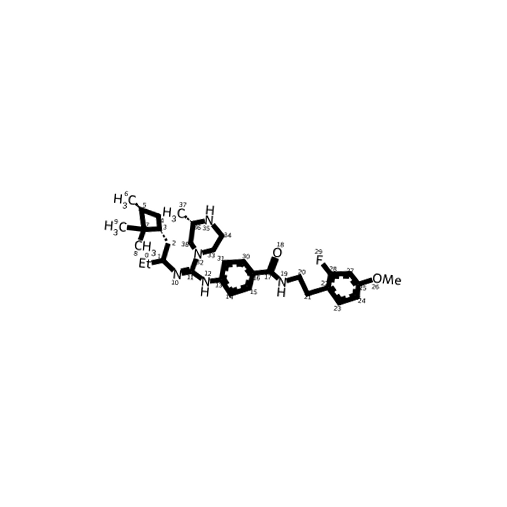 CCC(C[C@H]1C[C@@H](C)C1(C)C)/N=C(/Nc1ccc(C(=O)NCCc2ccc(OC)cc2F)cc1)N1CCN[C@@H](C)C1